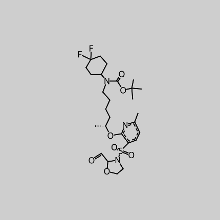 Cc1ccc(S(=O)(=O)N2CCOC2C=O)c(O[C@H](C)CCCCN(C(=O)OC(C)(C)C)C2CCC(F)(F)CC2)n1